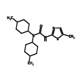 Cc1cnc(NC(=O)N(C2CCC(C)CC2)C2CCC(C)CC2)s1